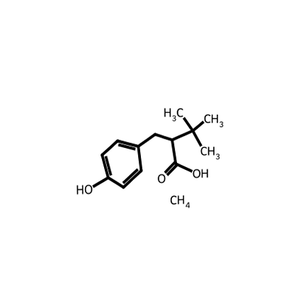 C.CC(C)(C)C(Cc1ccc(O)cc1)C(=O)O